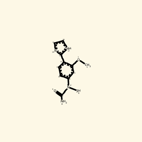 COc1cc(N(S)C(N)=O)ccc1-c1ncc[nH]1